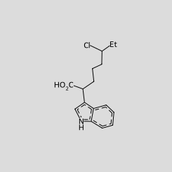 CCC(Cl)CCCC(C(=O)O)c1c[nH]c2ccccc12